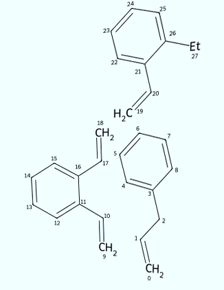 C=CCc1ccccc1.C=Cc1ccccc1C=C.C=Cc1ccccc1CC